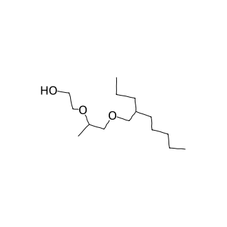 CCCCCC(CCC)COCC(C)OCCO